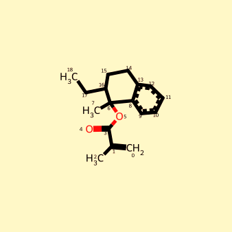 C=C(C)C(=O)OC1(C)c2ccccc2CCC1CC